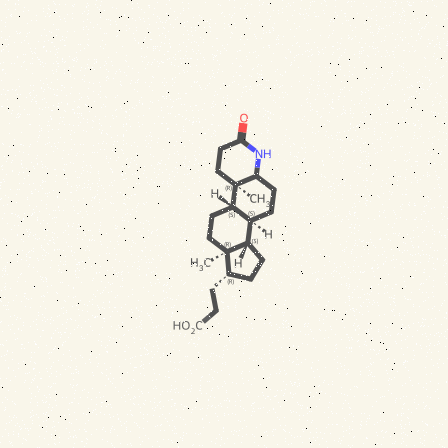 C[C@]12CC[C@H]3[C@@H](CCC4NC(=O)CC[C@@]43C)[C@@H]1CC[C@@H]2CCC(=O)O